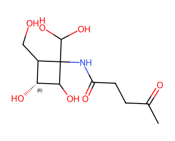 CC(=O)CCC(=O)NC1(C(O)O)C(O)[C@H](O)C1CO